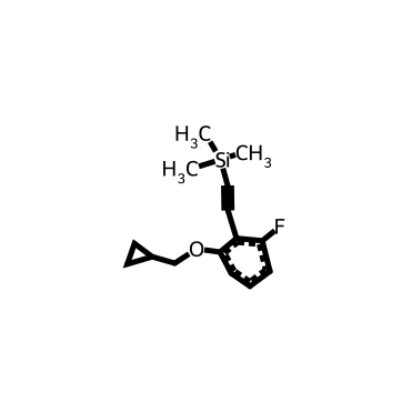 C[Si](C)(C)C#Cc1c(F)cccc1OCC1CC1